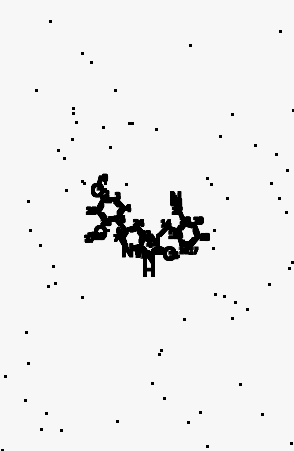 COc1ccc(-c2cnc3[nH]c(=O)n(Cc4ccccc4C#N)c3c2)c(OC)c1